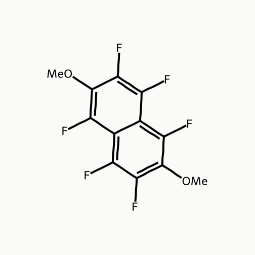 COc1c(F)c(F)c2c(F)c(OC)c(F)c(F)c2c1F